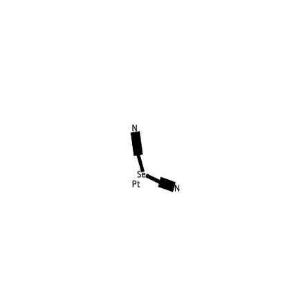 N#C[Se]C#N.[Pt]